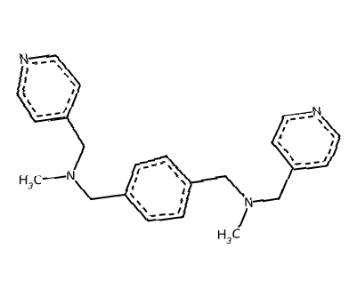 CN(Cc1ccncc1)Cc1ccc(CN(C)Cc2ccncc2)cc1